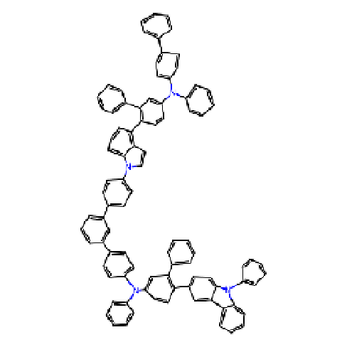 c1ccc(-c2ccc(N(c3ccccc3)c3ccc(-c4cccc5c4ccn5-c4ccc(-c5cccc(-c6ccc(N(c7ccccc7)c7ccc(-c8ccc9c(c8)c8ccccc8n9-c8ccccc8)c(-c8ccccc8)c7)cc6)c5)cc4)c(-c4ccccc4)c3)cc2)cc1